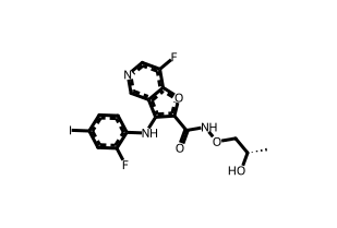 C[C@H](O)CONC(=O)c1oc2c(F)cncc2c1Nc1ccc(I)cc1F